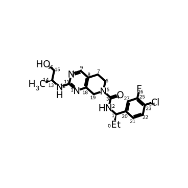 CC[C@@H](NC(=O)N1CCc2cnc(N[C@@H](C)CO)nc2C1)c1ccc(Cl)c(F)c1